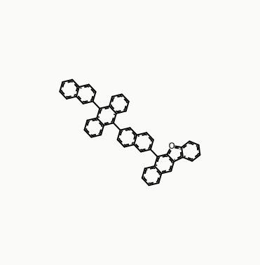 c1ccc2cc(-c3c4ccccc4c(-c4ccc5cc(-c6c7ccccc7cc7c6oc6ccccc67)ccc5c4)c4ccccc34)ccc2c1